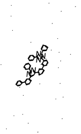 c1ccc(-c2cccc(-c3cc(-c4cccc(-c5cccc(-c6nc(-c7ccccc7)nc(-c7ccccc7)n6)c5)c4)nc(-c4ccccc4)n3)c2)cc1